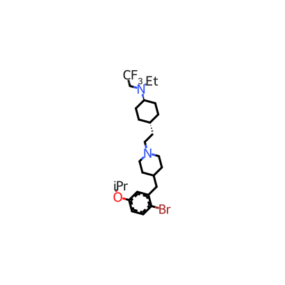 CCN(CC(F)(F)F)[C@H]1CC[C@H](CCN2CCC(Cc3cc(OC(C)C)ccc3Br)CC2)CC1